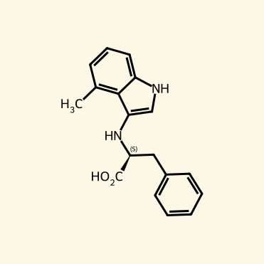 Cc1cccc2[nH]cc(N[C@@H](Cc3ccccc3)C(=O)O)c12